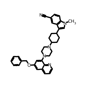 Cn1cc(C2CCC(N3CCN(c4cc(OCc5ccccc5)cc5cccnc45)CC3)CC2)c2cc(C#N)ccc21